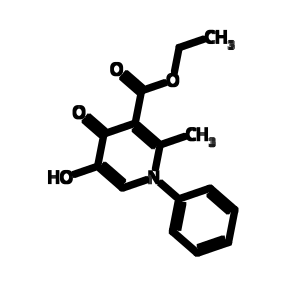 CCOC(=O)c1c(C)n(-c2ccccc2)cc(O)c1=O